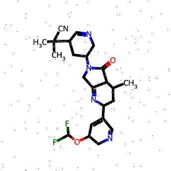 CC1CC(C2=CC(OC(F)F)CN=C2)N=C2CN(C3CN=CC(C(C)(C)C#N)C3)C(=O)C21